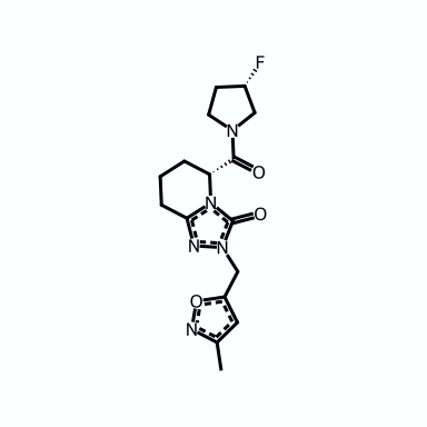 Cc1cc(Cn2nc3n(c2=O)[C@@H](C(=O)N2CC[C@H](F)C2)CCC3)on1